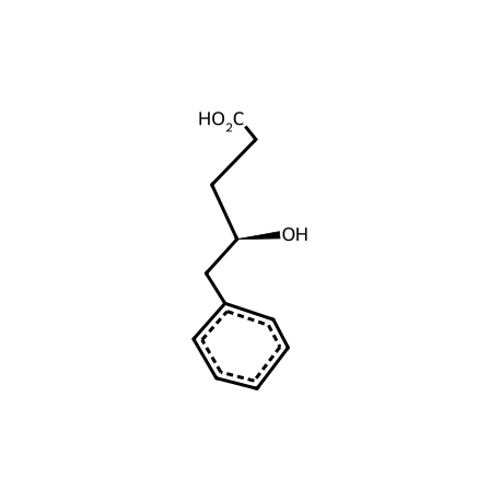 O=C(O)CC[C@@H](O)Cc1ccccc1